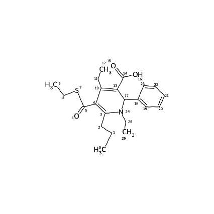 CCCC1=C(C(=O)SCC)C(CC)=C(C(=O)O)C(c2ccccc2)N1CC